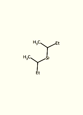 CCC(C)[Si]C(C)CC